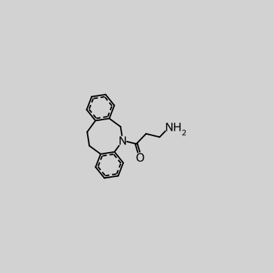 NCCC(=O)N1Cc2ccccc2CCc2ccccc21